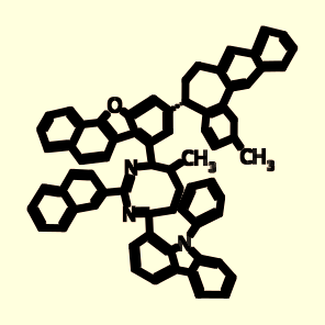 CC1C=CC2=C(C1)c1cc3ccccc3cc1CC[C@H]2c1cc(C2/N=C(c3ccc4ccccc4c3)\N=C(\c3cccc4c5ccccc5n(-c5ccccc5)c34)CCC2C)c2c(c1)oc1c3ccccc3ccc12